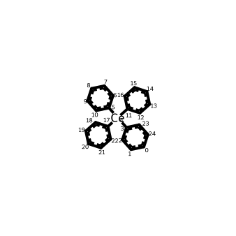 c1cc[c]([Ce]([c]2ccccc2)([c]2ccccc2)[c]2ccccc2)cc1